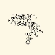 CN(C)c1cc(NC(=O)CN(C(=O)OCOC(=O)c2cc3ccccc3[nH]2)C(C)(C)C)c(O)c2c1C[C@H]1C[C@H]3[C@H](N(C)C)C(O)=C(C(N)=O)C(=O)[C@@]3(O)C(O)=C1C2=O